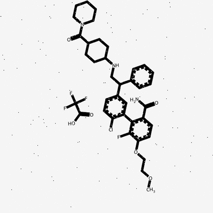 COCCOc1ccc(C(N)=O)c(-c2cc(C(CNC3CCC(C(=O)N4CCCCC4)CC3)c3ccccc3)ccc2Cl)c1F.O=C(O)C(F)(F)F